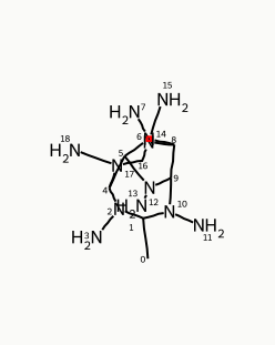 CC1N(N)C2C3N(N)C(C(N1N)N3N)N(N)CN2N